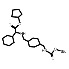 CC(C)(C)OC(=O)NCC1CCC(CNC(C(=O)OC2CCCC2)C2CCCCC2)CC1